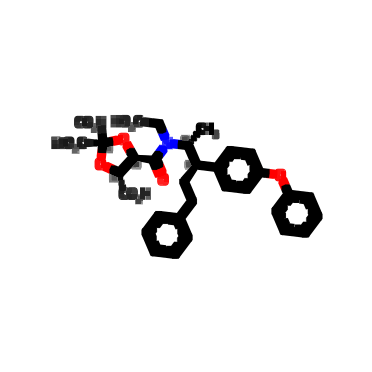 CCOC(=O)[C@]1(C(=O)O)O[C@@H](C(=O)O)[C@H](C(=O)N(CC(=O)O)[C@H](C)[C@H](CCc2ccccc2)c2ccc(Oc3ccccc3)cc2)O1